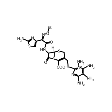 CCO/N=C(\C(=O)NC1C(=O)N2C(C(=O)[O-])=C(CSc3nc(N)c(N)c(N)[n+]3N)CS[C@H]12)c1csc(N)n1